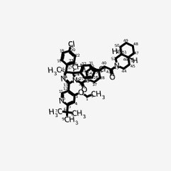 CCOc1cc(C(C)(C)C)ncc1C1=N[C@@](C)(c2ccc(Cl)cc2)[C@@](C)(c2ccc(Cl)cc2)N1C(=O)N1CCC(CC(=O)N2CC[C@H]3CCCC[C@@H]3C2)CC1